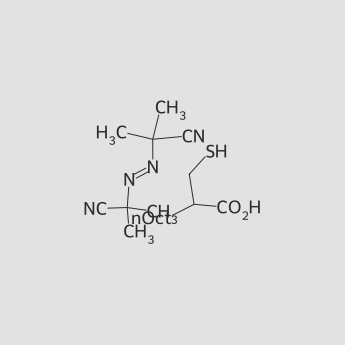 CC(C)(C#N)N=NC(C)(C)C#N.CCCCCCCCC(CS)C(=O)O